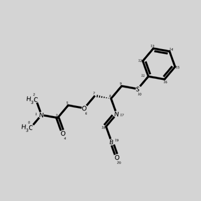 CN(C)C(=O)COC[C@H](CSc1ccccc1)/N=C/B=O